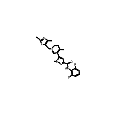 CC1=C(c2cc(C(=O)Nc3c(F)cccc3F)nn2C)CN(Cc2sc(C)nc2C)CC1